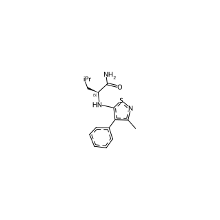 Cc1nsc(N[C@@H](CC(C)C)C(N)=O)c1-c1ccccc1